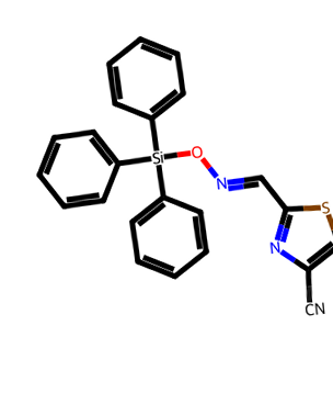 N#Cc1csc(/C=N/O[Si](c2ccccc2)(c2ccccc2)c2ccccc2)n1